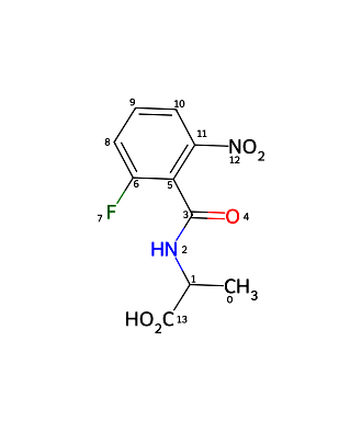 CC(NC(=O)c1c(F)cccc1[N+](=O)[O-])C(=O)O